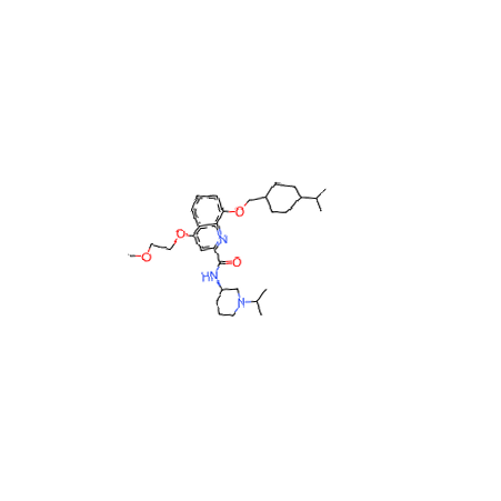 COCCOc1cc(C(=O)N[C@@H]2CCCN(C(C)C)C2)nc2c(OCC3CCC(C(C)C)CC3)cccc12